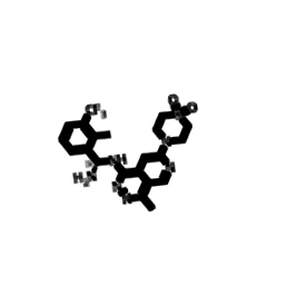 Cc1c([C@@H](N)Nc2nnc(C)c3cnc(N4CCS(=O)(=O)CC4)cc23)cccc1C(F)(F)F